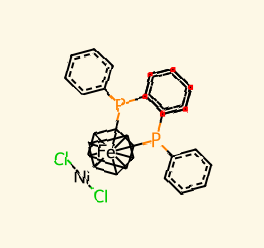 [Cl][Ni][Cl].c1ccc(P(c2ccccc2)[C]23[CH]4[CH]5[CH]6[C]2(P(c2ccccc2)c2ccccc2)[Fe]54632789[CH]3[CH]2[CH]7[CH]8[CH]39)cc1